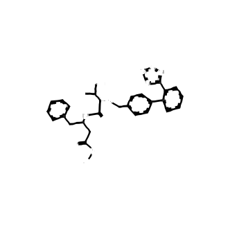 CC(C)[C@H](NCc1ccc(-c2ccccc2-c2nnn[nH]2)cc1)C(=O)NC(CC(=O)NO)Cc1ccccc1